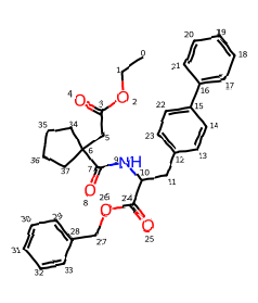 CCOC(=O)CC1(C(=O)NC(Cc2ccc(-c3ccccc3)cc2)C(=O)OCc2ccccc2)CCCC1